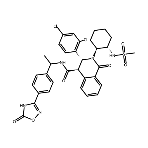 CC(NC(=O)[C@@H]1c2ccccc2C(=O)N([C@H]2CCCC[C@@H]2NS(C)(=O)=O)[C@H]1c1ccc(Cl)cc1Cl)c1ccc(-c2noc(=O)[nH]2)cc1